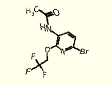 CC(=O)Nc1ccc(Br)nc1OCC(F)(F)F